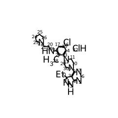 CCc1n[nH]c2ncnc(N3CCN(c4cc(Cl)cc(NCCN5CCCC5)c4C)CC3)c12.Cl